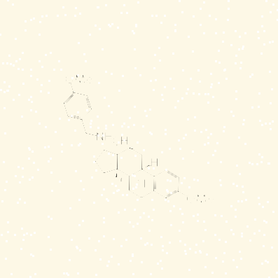 COc1ccc(CN[C@H]2CC[C@H]3[C@@H]4CCc5cc(OC)ccc5[C@H]4CC[C@]23C)cc1